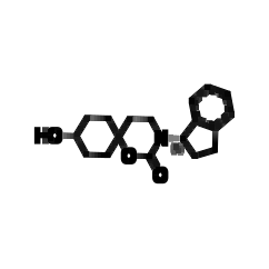 O=C1OC2(CCC(O)CC2)CCN1[C@H]1CCc2ccccc21